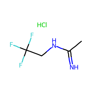 CC(=N)NCC(F)(F)F.Cl